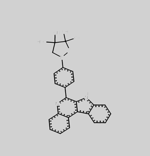 CC1(C)CB(c2ccc(-c3nc4ccccc4c4c3[nH]c3ccccc34)cc2)OC1(C)C